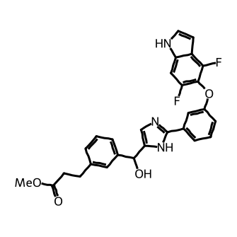 COC(=O)CCc1cccc(C(O)c2cnc(-c3cccc(Oc4c(F)cc5[nH]ccc5c4F)c3)[nH]2)c1